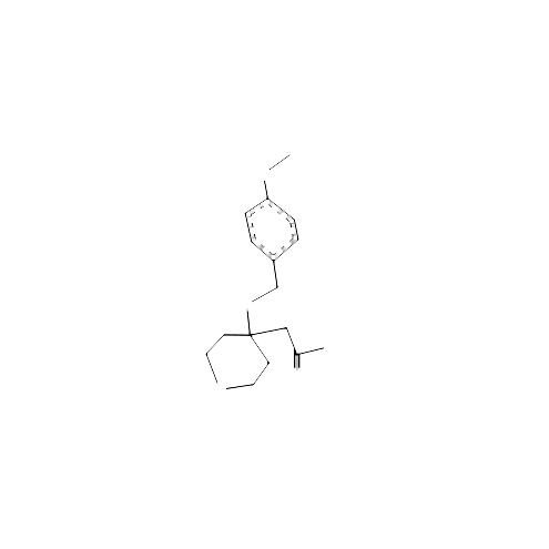 COc1ccc(CSC2(CC(=O)O)CCOCC2)cc1